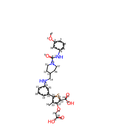 COc1cccc(NC(=O)N2CCC(CNc3cccc(-c4sc(C(=O)O)c(OCC(=O)O)c4C)c3)CC2)c1